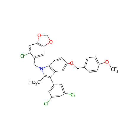 O=C(O)c1c(-c2cc(Cl)cc(Cl)c2)c2cc(OCc3ccc(OC(F)(F)F)cc3)ccc2n1Cc1cc2c(cc1Cl)OCO2